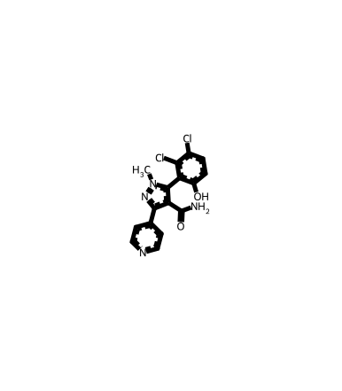 Cn1nc(-c2ccncc2)c(C(N)=O)c1-c1c(O)ccc(Cl)c1Cl